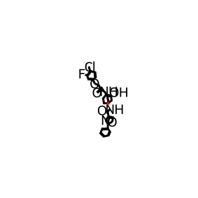 O=C(COc1ccc(Cl)c(F)c1)NC12CCC(NC(=O)c3coc(-c4ccccc4)n3)(CC1)CC2O